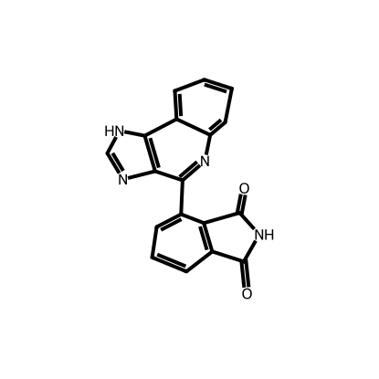 O=C1NC(=O)c2c1cccc2-c1nc2ccccc2c2[nH]cnc12